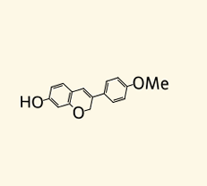 COc1ccc(C2=Cc3ccc(O)cc3OC2)cc1